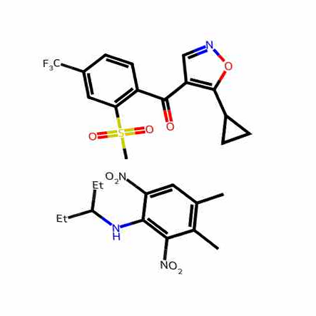 CCC(CC)Nc1c([N+](=O)[O-])cc(C)c(C)c1[N+](=O)[O-].CS(=O)(=O)c1cc(C(F)(F)F)ccc1C(=O)c1cnoc1C1CC1